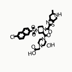 CC1Cc2nc(C(=O)N3CCN(S(=O)(=O)c4ccc5cc(Cl)ccc5c4)CC3C(=O)N3CCN(CC(=O)O)CC3)sc2CN1.Cl